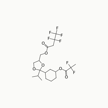 CC(C)C1(C2CCCC(OC(=O)C(C)(F)F)C2)OCC(COC(=O)CC(F)(F)C(F)(F)F)O1